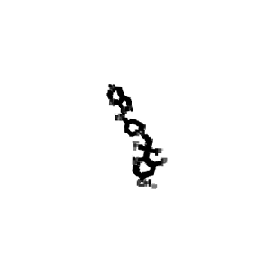 Cc1cnc(C(F)(F)CN2CCC(Nn3ncc4cncnc43)CC2)c(F)c1